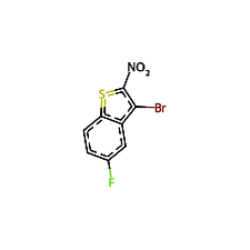 O=[N+]([O-])c1sc2ccc(F)cc2c1Br